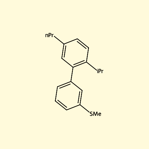 CCCc1ccc(C(C)C)c(-c2cccc(SC)c2)c1